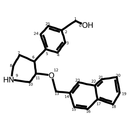 OCc1ccc(C2CCNCC2OCc2ccc3ccccc3c2)cc1